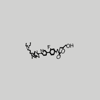 CCN(CC)CCCn1nnc(-c2ccc(-c3ccc(N4CC(CO)OC4=O)cc3F)cn2)n1